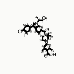 COC[C@H](C)n1cc(-c2ccc(Cl)c(F)c2)c2ccc(C(=O)N3CCN(c4cc(C)c(C(=O)O)c(C)n4)CC3(C)C)nc21